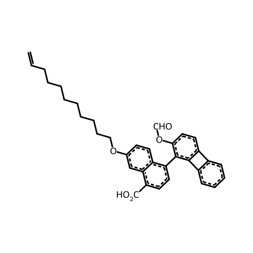 C=CCCCCCCCCCOc1ccc2c(-c3c(OC=O)ccc4c3-c3ccccc3-4)ccc(C(=O)O)c2c1